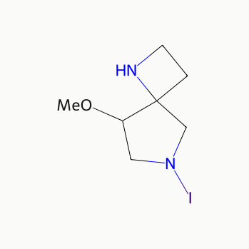 COC1CN(I)CC12CCN2